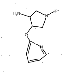 CC(C)N1CC(N)C(Oc2ccccn2)C1